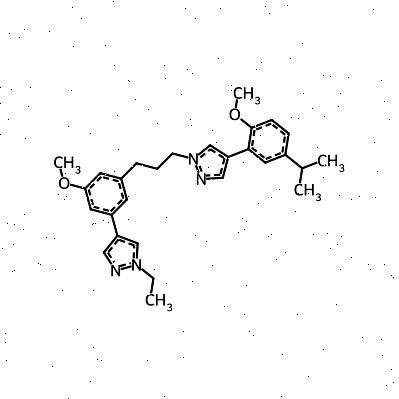 CCn1cc(-c2cc(CCCn3cc(-c4cc(C(C)C)ccc4OC)cn3)cc(OC)c2)cn1